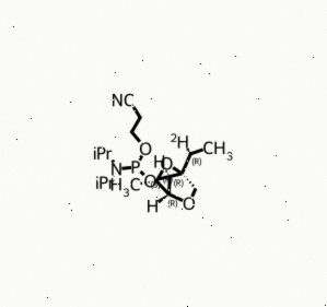 [2H][C@H](C)[C@]12CO[C@H]([C@H](C)O1)[C@H]2OP(OCCC#N)N(C(C)C)C(C)C